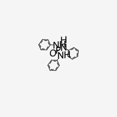 O=P(Nc1ccccc1)(Nc1ccccc1)Nc1ccccc1